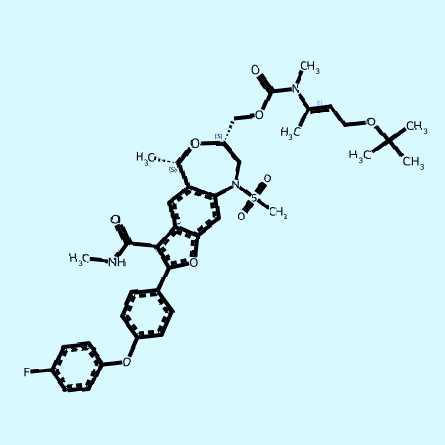 CNC(=O)c1c(-c2ccc(Oc3ccc(F)cc3)cc2)oc2cc3c(cc12)[C@H](C)O[C@H](COC(=O)N(C)/C(C)=C/COC(C)(C)C)CN3S(C)(=O)=O